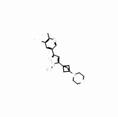 Cc1ncc(-c2cc(C34CC(N5CCOCC5)(C3)C4)n(C(C)C)n2)cc1C(F)(F)F